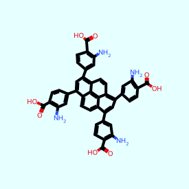 Nc1cc(-c2cc(-c3ccc(C(=O)O)c(N)c3)c3ccc4c(-c5ccc(C(=O)O)c(N)c5)cc(-c5ccc(C(=O)O)c(N)c5)c5ccc2c3c54)ccc1C(=O)O